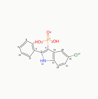 O=P(O)(O)c1c(-c2ccccc2)[nH]c2ccc(Cl)cc12